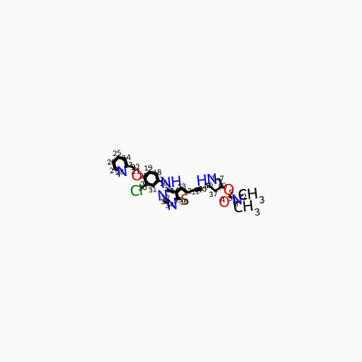 CN(C)C(=O)O[C@@H]1CN[C@@H](C#Cc2cc3c(Nc4ccc(OCc5ccccn5)c(Cl)c4)ncnc3s2)C1